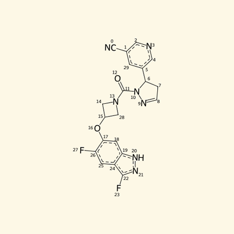 N#Cc1cncc(C2CC=NN2C(=O)N2CC(Oc3cc4[nH]nc(F)c4cc3F)C2)c1